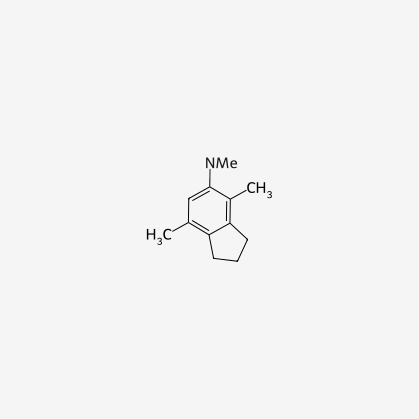 CNc1cc(C)c2c(c1C)CCC2